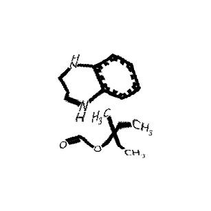 CC(C)(C)OC=O.c1ccc2c(c1)NCCN2